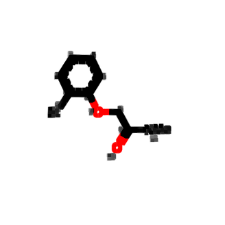 [CH2]Cc1ccccc1OCC(=O)NC